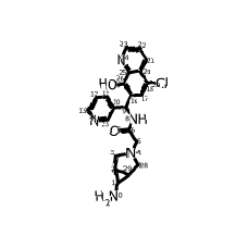 NC1C2CN(CC(=O)NC(c3cccnc3)c3cc(Cl)c4cccnc4c3O)CC12